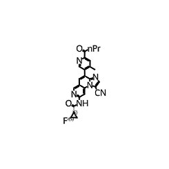 CCCC(=O)c1cc(C)c(-c2cc3cnc(NC(=O)[C@@H]4C[C@@H]4F)cc3n3c(C#N)cnc23)cn1